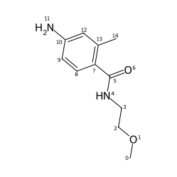 COCCNC(=O)c1ccc(N)cc1C